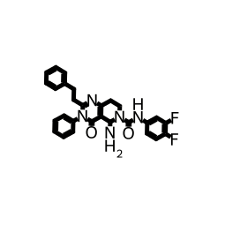 NC1c2c(nc(CCc3ccccc3)n(-c3ccccc3)c2=O)CCN1C(=O)Nc1ccc(F)c(F)c1